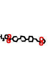 COC(=O)[C@H]1CC[C@H]([C@H]2CC[C@H]([C@H]3CC[C@H](CCC4OCCCO4)CC3)CC2)CC1